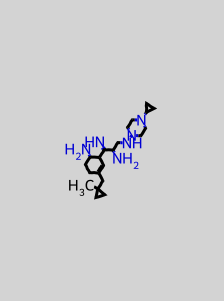 CC1(CC2=CC(C(=N)C(N)CNN3CCN(C4CC4)CC3)C(N)CC2)CC1